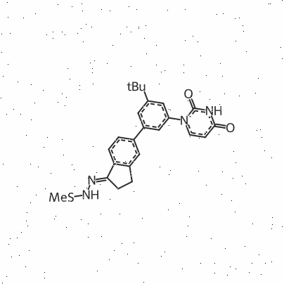 CSN/N=C1\CCc2cc(-c3cc(-n4ccc(=O)[nH]c4=O)cc(C(C)(C)C)c3)ccc21